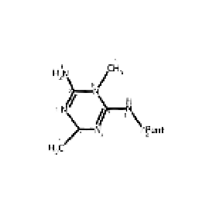 CCCCCNC1=NC(C)N=C(N)N1C